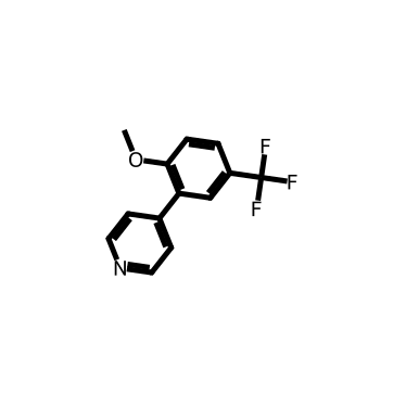 COc1ccc(C(F)(F)F)cc1-c1ccncc1